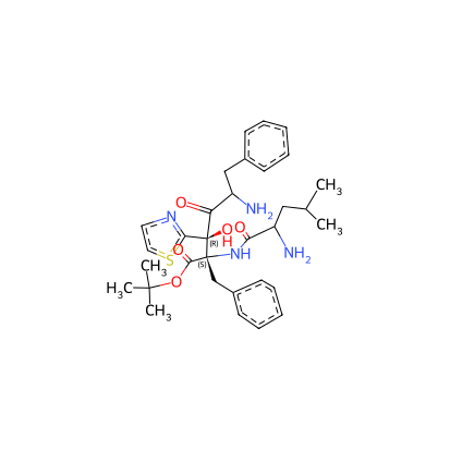 CC(C)CC(N)C(=O)N[C@](Cc1ccccc1)(C(=O)OC(C)(C)C)[C@@](O)(C(=O)C(N)Cc1ccccc1)c1nccs1